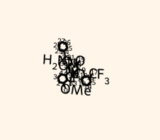 COc1cccc(-n2nc(Cc3c(F)cccc3C(F)(F)F)c(=O)n(CC(N)c3ccccc3)c2=O)c1F